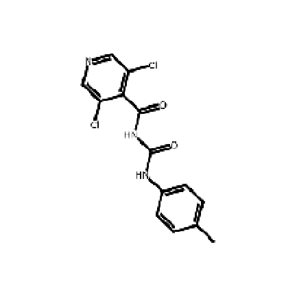 Cc1ccc(NC(=O)NC(=O)c2c(Cl)cncc2Cl)cc1